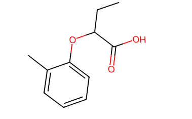 CCC(Oc1ccccc1C)C(=O)O